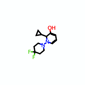 OC1=CC=CN(N2CCC(F)(F)CC2)C1C1CC1